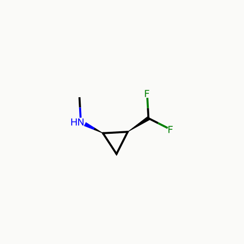 CN[C@@H]1C[C@@H]1C(F)F